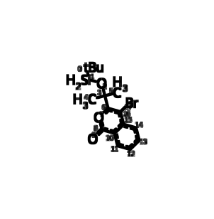 CC(C)(C)[SiH2]OC(C)(C)c1oc(=O)c2ccccc2c1Br